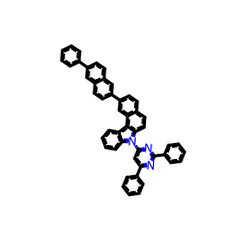 c1ccc(-c2ccc3cc(-c4ccc5ccc6c(c5c4)c4ccccc4n6-c4cc(-c5ccccc5)nc(-c5ccccc5)n4)ccc3c2)cc1